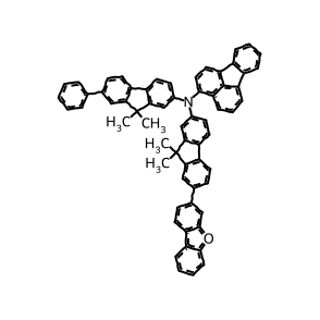 CC1(C)c2cc(-c3ccccc3)ccc2-c2ccc(N(c3ccc4c(c3)C(C)(C)c3cc(-c5ccc6c(c5)oc5ccccc56)ccc3-4)c3ccc4c5c(cccc35)-c3ccccc3-4)cc21